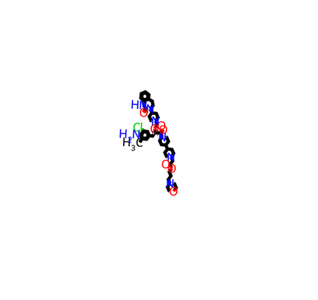 Cc1cc(C[C@@H](OC(=O)N2CCC(N3CCc4ccccc4NC3=O)CC2)C(=O)N2CCC(C3CCN(CC(=O)OCCCN4CCOCC4)CC3)CC2)cc(Cl)c1N